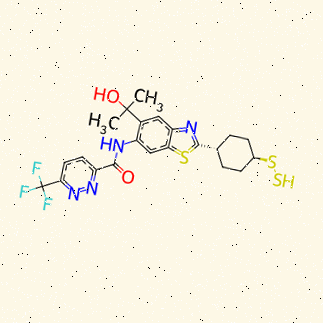 CC(C)(O)c1cc2nc([C@H]3CC[C@H](SS)CC3)sc2cc1NC(=O)c1ccc(C(F)(F)F)nn1